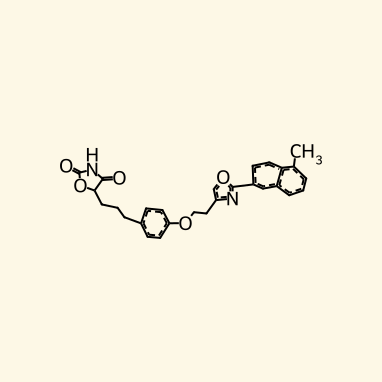 Cc1cccc2cc(-c3nc(CCOc4ccc(CCCC5OC(=O)NC5=O)cc4)co3)ccc12